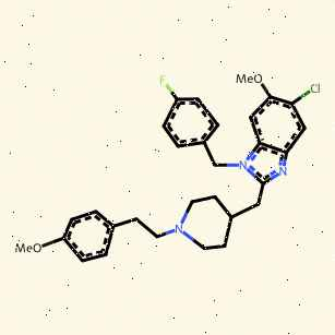 COc1ccc(CCN2CCC(Cc3nc4cc(Cl)c(OC)cc4n3Cc3ccc(F)cc3)CC2)cc1